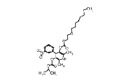 CCCCCCCCOCCOC(=O)OC1=C(C)NC(C)=C(OC(=O)OC(C)C)C1c1cccc([N+](=O)[O-])c1